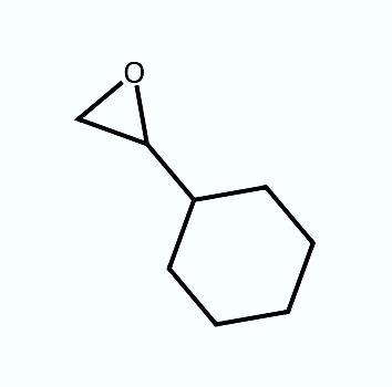 C1CCC(C2CO2)CC1